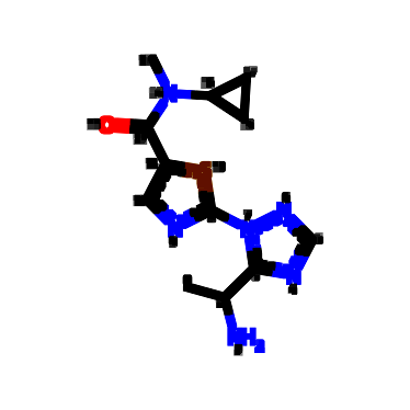 CC(N)c1ncnn1-c1ncc(C(=O)N(C)C2CC2)s1